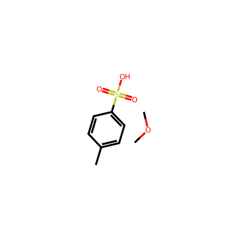 COC.Cc1ccc(S(=O)(=O)O)cc1